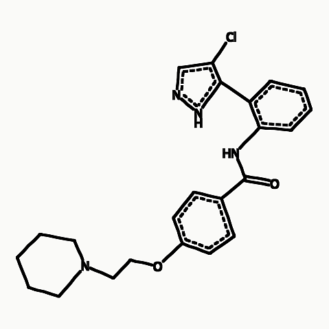 O=C(Nc1ccccc1-c1[nH]ncc1Cl)c1ccc(OCCN2CCCCC2)cc1